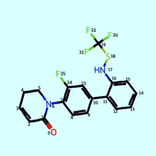 O=C1C=CCCN1c1ccc(-c2ccccc2NSC(F)(F)F)cc1F